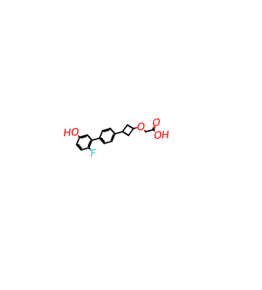 O=C(O)COC1CC(c2ccc(-c3cc(O)ccc3F)cc2)C1